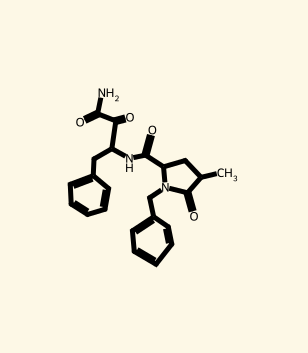 CC1CC(C(=O)NC(Cc2ccccc2)C(=O)C(N)=O)N(Cc2ccccc2)C1=O